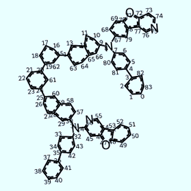 c1ccc(-c2ccc(N(c3ccc4cc(-c5cccc(-c6cccc(-c7ccc8cc(N(c9ccc(-c%10ccccc%10)cc9)c9cc%10oc%11ccccc%11c%10cn9)ccc8c7)c6)c5)ccc4c3)c3ccc4oc5ccncc5c4c3)cc2)cc1